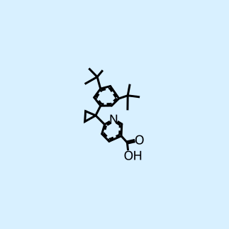 CC(C)(C)c1cc(C(C)(C)C)cc(C2(c3ccc(C(=O)O)cn3)CC2)c1